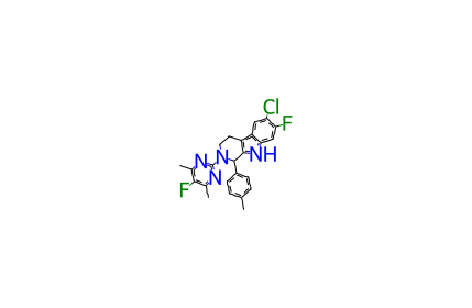 Cc1ccc(C2c3[nH]c4cc(F)c(Cl)cc4c3CCN2c2nc(C)c(F)c(C)n2)cc1